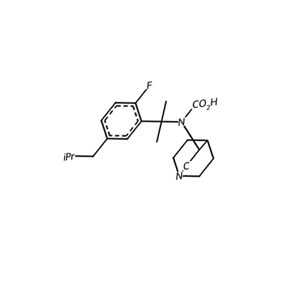 CC(C)Cc1ccc(F)c(C(C)(C)N(C(=O)O)C2CN3CCC2CC3)c1